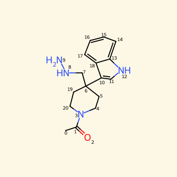 CC(=O)N1CCC(CNN)(c2c[nH]c3ccccc23)CC1